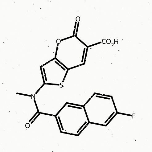 CN(C(=O)c1ccc2cc(F)ccc2c1)c1cc2oc(=O)c(C(=O)O)cc2s1